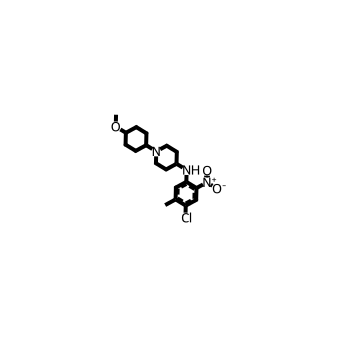 COC1CCC(N2CCC(Nc3cc(C)c(Cl)cc3[N+](=O)[O-])CC2)CC1